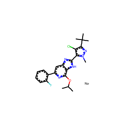 CC(C)Oc1nc(-c2ccccc2F)cc2nc(-c3c(Cl)c(C(C)(C)C)nn3C)[nH]c12.[Na]